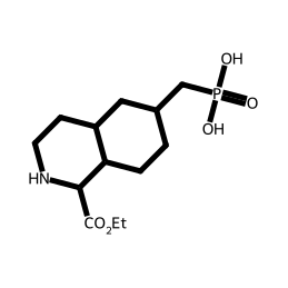 CCOC(=O)C1NCCC2CC(CP(=O)(O)O)CCC21